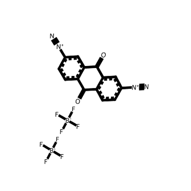 F[B-](F)(F)F.F[B-](F)(F)F.N#[N+]c1ccc2c(c1)C(=O)c1cc([N+]#N)ccc1C2=O